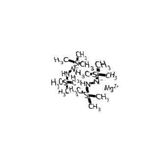 C[Si](C)(C)[N-]N[Si](C)(C)C.C[Si](C)(C)[N-]N[Si](C)(C)C.[Mg+2]